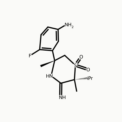 CC(C)[C@]1(C)C(=N)N[C@](C)(c2cc(N)ccc2F)CS1(=O)=O